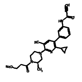 C#CC(=O)Nc1cccc(-c2cc(C#N)c(N3CCN(C(=O)CCOC)[C@H](C)C3)nc2C2CC2)c1